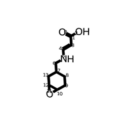 O=C(O)C=CNCC1CCC2OC2C1